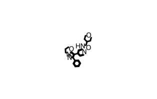 O=C(Nc1cc(-c2c(-c3ccccc3)nn3c2OCCC3)ccn1)C1CCOCC1